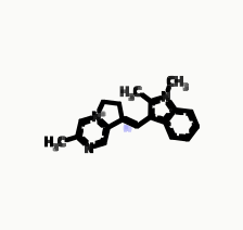 Cc1c[n+]2c(cn1)/C(=C/c1c(C)n(C)c3ccccc13)CC2